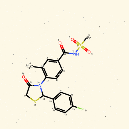 Cc1cc(C(=O)NS(=O)(=O)C(C)C)ccc1N1C(=O)CSC1c1ccc(F)cc1